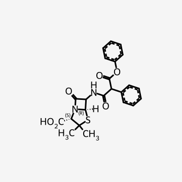 CC1(C)S[C@@H]2C(NC(=O)C(C(=O)Oc3ccccc3)c3ccccc3)C(=O)N2[C@H]1C(=O)O